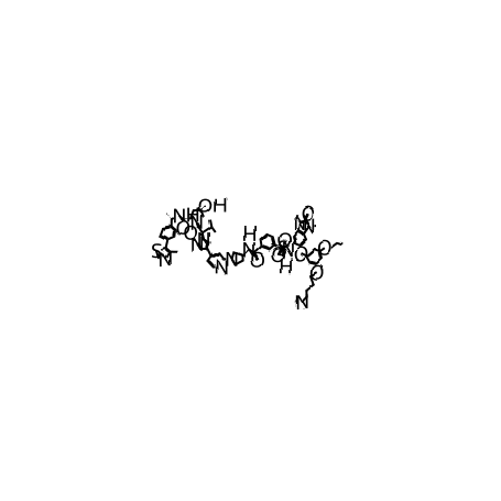 CCCOc1cc(OCCCCN(C)C)cc(Oc2cc3c(cc2NS(=O)(=O)c2cccc(C(=O)N[C@H]4CCN(c5cc(-c6cnn(C(C(=O)N7C[C@H](O)C[C@H]7C(=O)N[C@@H](C)c7ccc(-c8scnc8C)cc7)C(C)C)c6)ccn5)C4)c2)n(C)c(=O)n3C)c1